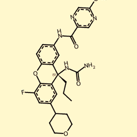 CCC[C@]1(NC(N)=O)c2cc(NC(=O)c3cnc(OC)cn3)ccc2Oc2c(F)cc(C3CCOCC3)cc21